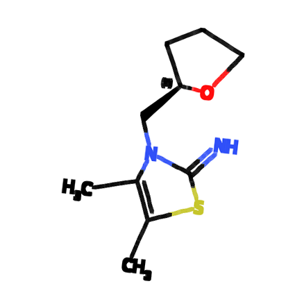 Cc1sc(=N)n(C[C@H]2CCCO2)c1C